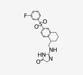 O=C1CN=C(NCC2CCCc3cc(S(=O)(=O)c4cccc(F)c4)ccc32)N1